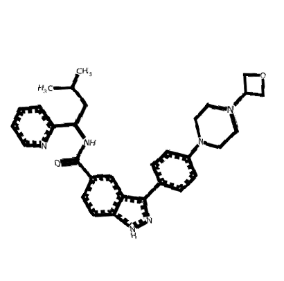 CC(C)CC(NC(=O)c1ccc2[nH]nc(-c3ccc(N4CCN(C5COC5)CC4)cc3)c2c1)c1ccccn1